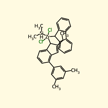 CCC1=Cc2c(-c3cc(C)cc(C)c3)cccc2[CH]1[Zr]([Cl])([Cl])([CH]1c2ccccc2-c2ccccc21)[SiH](C)C